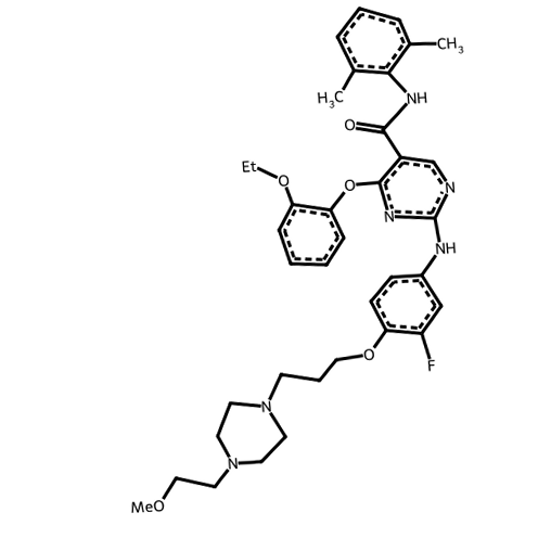 CCOc1ccccc1Oc1nc(Nc2ccc(OCCCN3CCN(CCOC)CC3)c(F)c2)ncc1C(=O)Nc1c(C)cccc1C